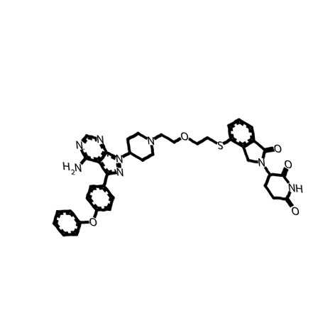 Nc1ncnc2c1c(-c1ccc(Oc3ccccc3)cc1)nn2C1CCN(CCOCCSc2cccc3c2CN(C2CCC(=O)NC2=O)C3=O)CC1